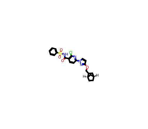 O=C(NS(=O)(=O)c1ccccc1)c1ccc(-n2ccc(OCC3C[C@@H]4CC[C@@H]3C4)n2)nc1Cl